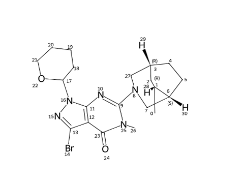 C[C@@H]1C[C@H]2CC[C@@H]1CN(c1nc3c(c(Br)nn3C3CCCCO3)c(=O)n1C)C2